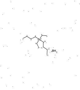 B.CCCC[N+](CC)(CC)CCCC